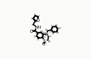 O=C(NCc1ccco1)c1ccc2c(c1)N(Cc1ccccc1)CC[S+]2[O-]